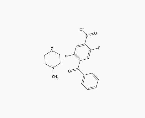 CN1CCNCC1.O=C(c1ccccc1)c1cc(F)c([N+](=O)[O-])cc1F